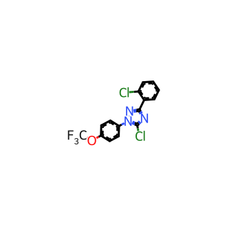 FC(F)(F)Oc1ccc(-n2nc(-c3ccccc3Cl)nc2Cl)cc1